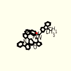 CC1(C)c2ccccc2-c2ccc(-c3nc(-c4ccccc4)nc(-c4cccc5oc6ccc(-c7c(-n8c9ccccc9c9ccccc98)ccc8sc9ccccc9c78)cc6c45)n3)cc21